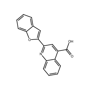 O=C(O)c1cc(-c2cc3ccccc3o2)nc2ccccc12